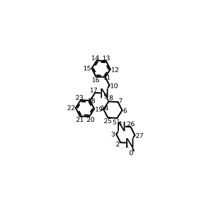 CN1CCN([C@H]2CC[C@H](N(Cc3ccccc3)Cc3ccccc3)CC2)CC1